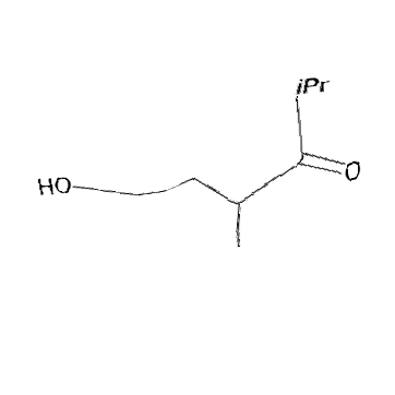 CC(C)C(=O)C(C)CCO